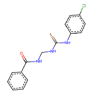 O=C(NCNC(=S)Nc1ccc(Cl)cc1)c1ccccc1